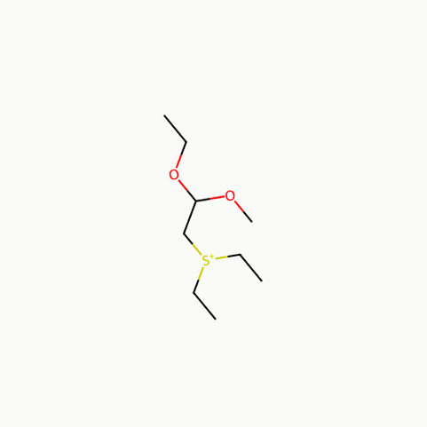 CCOC(C[S+](CC)CC)OC